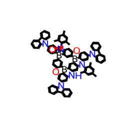 Cc1cc(C)c(N2c3cc4c(cc3B3c5cc6c(cc5Oc5cc(-n7c8ccccc8c8ccccc87)cc2c53)N(c2c(C)cc(C)cc2C)c2cc(-n3c5ccccc5c5ccccc53)cc3c2B6c2ccccc2O3)B2c3ccccc3Oc3cc(-n5c6ccccc6c6ccccc65)cc(c32)N4)c(C)c1